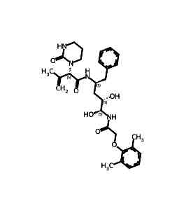 C=C(C)[C@@H](C(=O)N[C@@H](Cc1ccccc1)C[C@H](O)[C@H](O)NC(=O)COc1c(C)cccc1C)N1CCCNC1=O